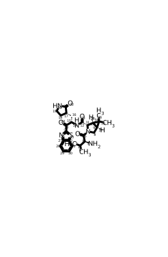 CC(C)[C@H](N)C(=O)N1C[C@H]2[C@@H]([C@H]1C(=O)N[C@@H](C[C@@H]1CCNC1=O)C(=O)c1nc3ccccc3s1)C2(C)C